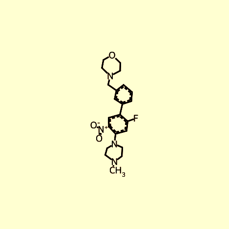 CN1CCN(c2cc(F)c(-c3cccc(CN4CCOCC4)c3)cc2[N+](=O)[O-])CC1